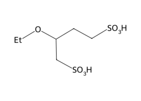 CCOC(CCS(=O)(=O)O)CS(=O)(=O)O